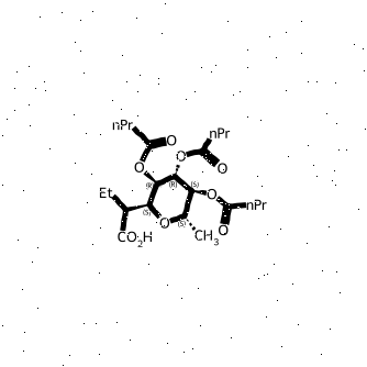 CCCC(=O)O[C@@H]1[C@@H](OC(=O)CCC)[C@H](C)O[C@@H](C(CC)C(=O)O)[C@H]1OC(=O)CCC